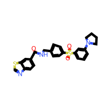 O=C(NCc1ccc(S(=O)(=O)c2cccc(N3CCCC3)c2)cc1)c1ccc2ncsc2c1